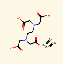 C=C.C=C.O=C(O)CN(CCN(CC(=O)O)CC(=O)O)CC(=O)O